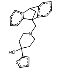 OC1(c2cccs2)CCN(CC23CC(c4ccccc42)c2ccccc23)CC1